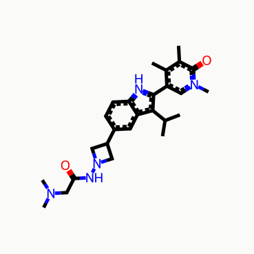 Cc1c(-c2[nH]c3ccc(C4CN(NC(=O)CN(C)C)C4)cc3c2C(C)C)cn(C)c(=O)c1C